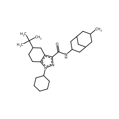 CC1CC2CC(C1)CC(NC(=O)c1nn(C3CCCCC3)c3c1CC(C(C)(C)C)CC3)C2